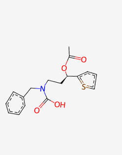 CC(=O)O[C@H](CCN(Cc1ccccc1)C(=O)O)c1cccs1